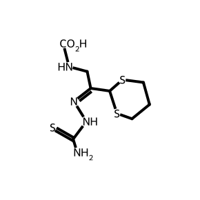 NC(=S)N/N=C(/CNC(=O)O)C1SCCCS1